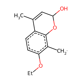 [CH2]c1c(OCC)ccc2c1OC(O)C=C2C